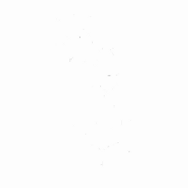 Fc1c(F)c(F)c(CCc2cc3c4c(ccc3s2)-c2c-4ccc3sccc23)c(F)c1F